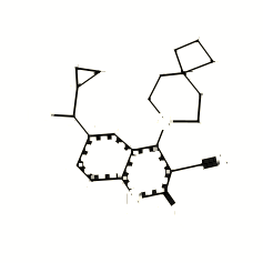 N#Cc1c(N2CCC3(CCC3)CC2)c2cc(C(O)C3CC3)ccc2[nH]c1=O